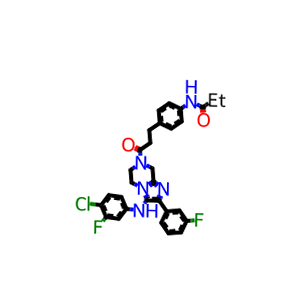 CCC(=O)Nc1ccc(CCC(=O)N2CCn3c(nc(-c4cccc(F)c4)c3Nc3ccc(Cl)c(F)c3)C2)cc1